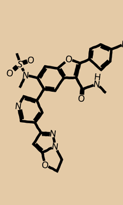 CNC(=O)c1c(-c2ccc(F)cc2)oc2cc(N(C)S(C)(=O)=O)c(-c3cncc(-c4cc5n(n4)CCO5)c3)cc12